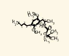 C=CCCCc1cc(OC)c(CC(C)NC(=O)OC(C)(C)C)cc1OC